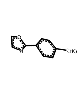 O=Cc1ccc(-c2ncco2)cc1